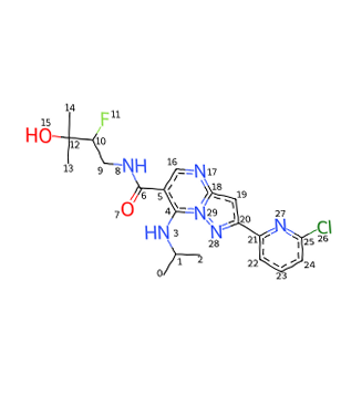 CC(C)Nc1c(C(=O)NCC(F)C(C)(C)O)cnc2cc(-c3cccc(Cl)n3)nn12